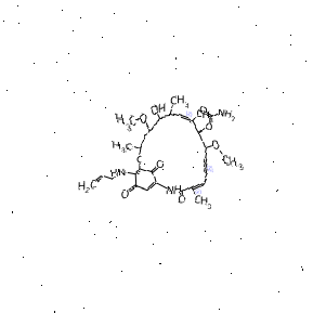 C=CCNC1=C2CC(C)CC(OC)C(O)C(C)/C=C(/C)C(OC(N)=O)C(OC)/C=C\C=C(\C)C(=O)NC(=CC1=O)C2=O